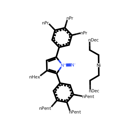 CCCCCCC1=C(c2cc(CCCCC)c(CCCCC)c(CCCCC)c2)[N+](=[N-])C(c2cc(CCC)c(CCC)c(CCC)c2)=C1.CCCCCCCCCCC[CH2][Ni][CH2]CCCCCCCCCCC